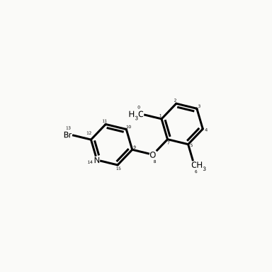 Cc1cccc(C)c1Oc1ccc(Br)nc1